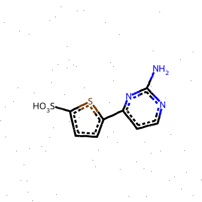 Nc1nccc(-c2ccc(S(=O)(=O)O)s2)n1